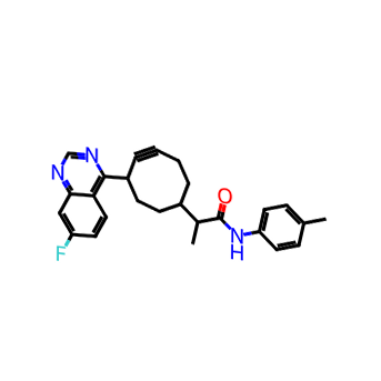 Cc1ccc(NC(=O)C(C)C2CCC#CC(c3ncnc4cc(F)ccc34)CC2)cc1